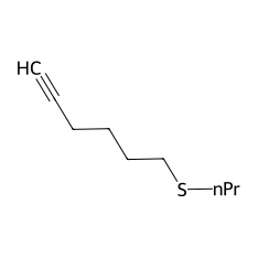 C#CCCCCSCC[CH2]